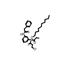 CCCCCCCCCCO[N+](C(=O)CC)(C(=S)CCCl)c1cccc(NC(=S)Cc2ccccc2)c1